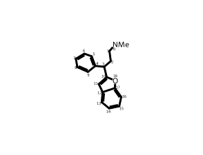 CNCCC(c1ccccc1)c1cc2ccccc2o1